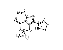 CSc1sc(C2=NCCN2)c2c1C(=O)CC(C)(C)C2